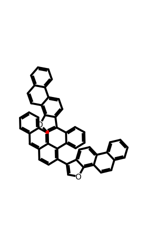 c1ccc(-c2coc3c2ccc2c4ccccc4ccc23)c(-c2c(-c3coc4c3ccc3c5ccccc5ccc34)ccc3cc4ccccc4cc23)c1